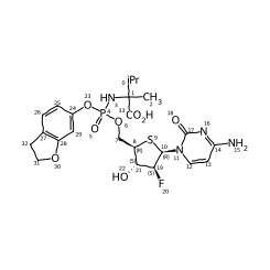 CC(C)C(C)(NP(=O)(OC[C@H]1S[C@@H](n2ccc(N)nc2=O)[C@@H](F)[C@@H]1O)Oc1ccc2c(c1)OCC2)C(=O)O